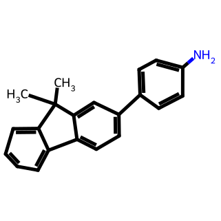 CC1(C)c2ccccc2-c2ccc(-c3ccc(N)cc3)cc21